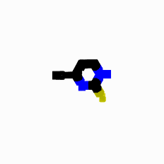 N#Cc1cc[nH]c(=S)n1